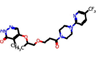 CC(COCCC(=O)N1CCN(c2ccc(C(F)(F)F)cn2)CC1)Oc1cn[nH]c(=O)c1C(F)(F)F